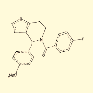 COc1ccc(C2c3ccsc3CCN2C(=O)c2ccc(F)cc2)cc1